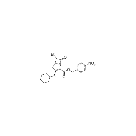 CCC1C(=O)N2C(C(=O)OCc3ccc([N+](=O)[O-])cc3)=C(SC3CCCCC3)CC12